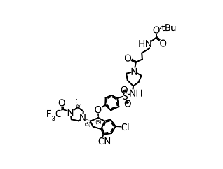 C[C@@H]1CN([C@H]2Cc3c(C#N)cc(Cl)cc3[C@@H]2Oc2ccc(S(=O)(=O)NC3CCN(C(=O)CCCNC(=O)OC(C)(C)C)CC3)cc2)CCN1C(=O)C(F)(F)F